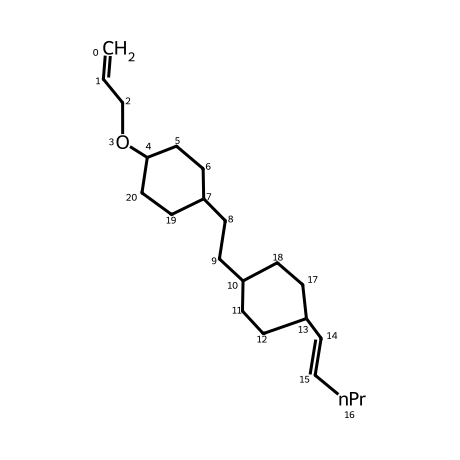 C=CCOC1CCC(CCC2CCC(/C=C/CCC)CC2)CC1